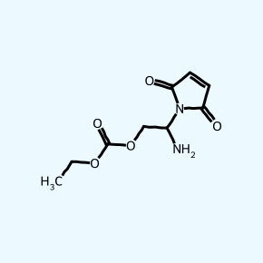 CCOC(=O)OCC(N)N1C(=O)C=CC1=O